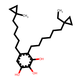 CCC1(CCCCCCc2c(CCCCCC3(C)CC3)cc(O)c(O)c2O)CC1